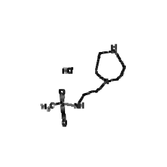 CS(=O)(=O)NCCN1CCNCC1.Cl